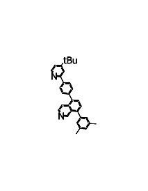 Cc1cc(C)cc(-c2ccc(-c3ccc(-c4cc(C(C)(C)C)ccn4)cc3)c3ccncc23)c1